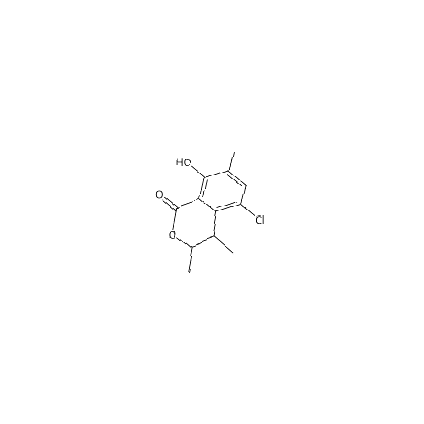 Cc1cc(Cl)c2c(c1O)C(=O)OC(C)C2C